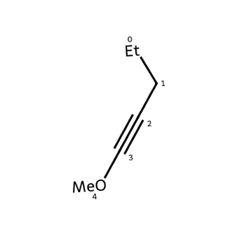 [CH2]CCC#CO[CH2]